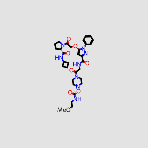 COCCNC(=O)ON1CCN(C(=O)CNC(=O)c2cc(OCC(=O)N3CCC[C@H]3C(=O)NC3CCC3)n(-c3ccccc3)n2)CC1